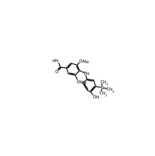 CCCC(=O)c1cc(OC)c(Pc2ccc(O)c([Si](C)(C)C)c2)c(OC)c1